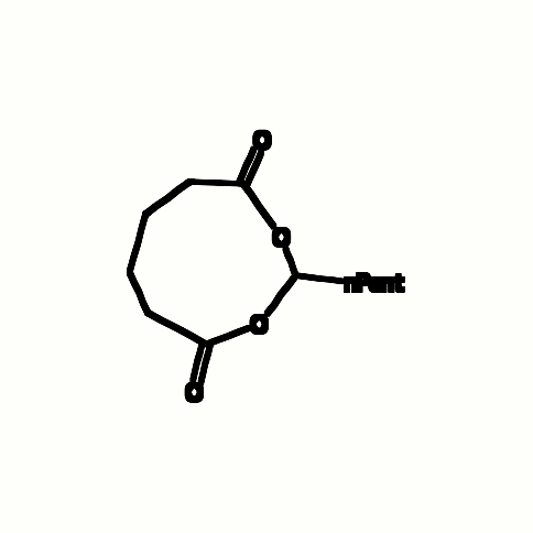 CCCCCC1OC(=O)CCCCC(=O)O1